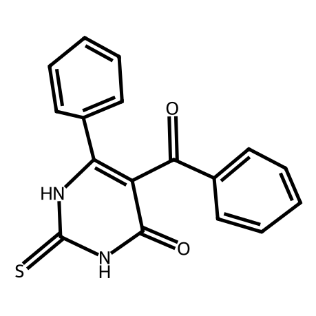 O=C(c1ccccc1)c1c(-c2ccccc2)[nH]c(=S)[nH]c1=O